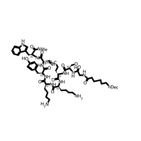 CCCCCCCCCCCCCCCC(=O)NCC(=O)N[C@@H](CO)C(=O)N[C@@H](CCC(=O)O)C(=O)N[C@@H](CCCCN)C(=O)N[C@@H](CCCCN)C(=O)N[C@@H](Cc1ccc(O)cc1)C(=O)N[C@@H](CC(C)C)C(=O)N[C@@H](Cc1c[nH]c2ccccc12)C(=O)NC